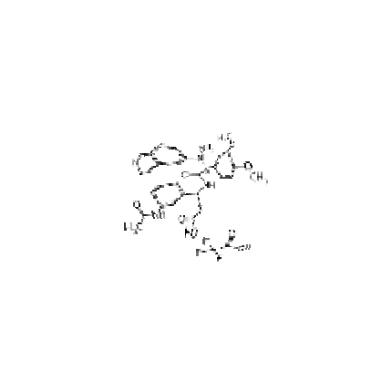 COc1ccc([C@H](C(=O)NC(CC(=O)O)c2cccc(NC(C)=O)c2)N(N)c2ccc3cnccc3c2)cc1OC.O=C(O)C(F)(F)F